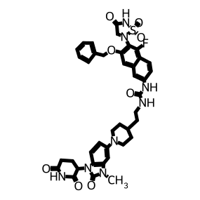 Cn1c(=O)n(C2CCC(=O)NC2=O)c2ccc(N3CCC(CCNC(=O)Nc4ccc5c(F)c(N6CC(=O)NS6(=O)=O)c(OCc6ccccc6)cc5c4)CC3)cc21